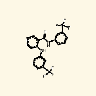 O=C(Nc1cccc(C(F)(F)F)c1)c1ccccc1Nc1cccc(C(F)(F)F)c1